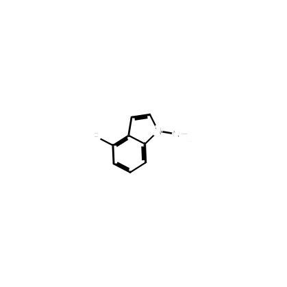 Nn1ccc2c(F)cccc21